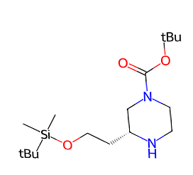 CC(C)(C)OC(=O)N1CCN[C@H](CCO[Si](C)(C)C(C)(C)C)C1